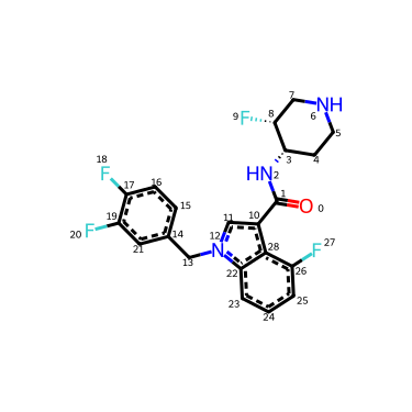 O=C(N[C@H]1CCNC[C@H]1F)c1cn(Cc2ccc(F)c(F)c2)c2cccc(F)c12